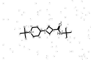 CC(C)(C)NC(=O)C1CN(C2CCN(C(C)(C)C)CC2)C1